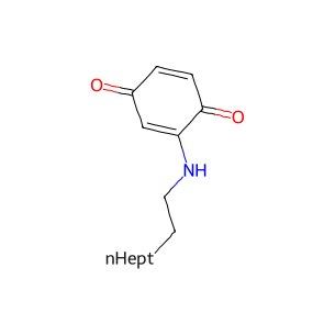 CCCCCCCCCNC1=CC(=O)C=CC1=O